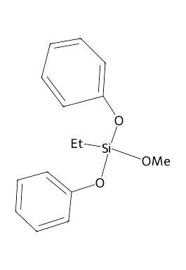 CC[Si](OC)(Oc1ccccc1)Oc1ccccc1